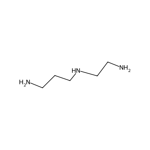 NCCCNCCN